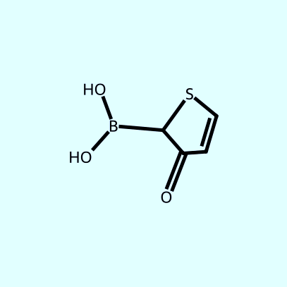 O=C1C=CSC1B(O)O